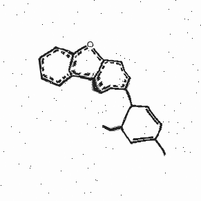 CC1=CC(C)C(c2ccc3oc4ccccc4c3c2)C=C1